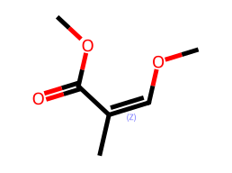 CO/C=C(/C)C(=O)OC